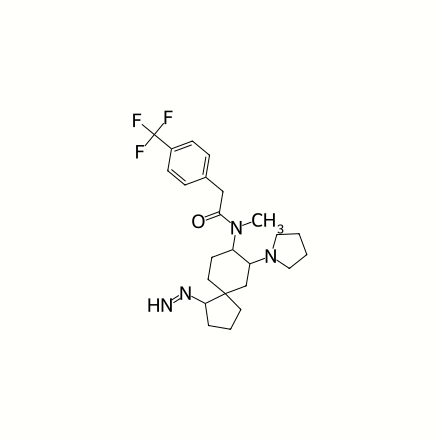 CN(C(=O)Cc1ccc(C(F)(F)F)cc1)C1CCC2(CCCC2N=N)CC1N1CCCC1